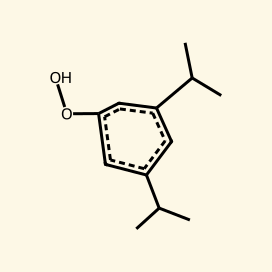 CC(C)c1cc(OO)cc(C(C)C)c1